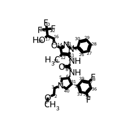 COCCN1C[C@@H](NC(=O)Nc2c(C)c(OCC(O)C(F)(F)F)nn2-c2ccccc2)[C@H](c2cc(F)cc(F)c2)C1